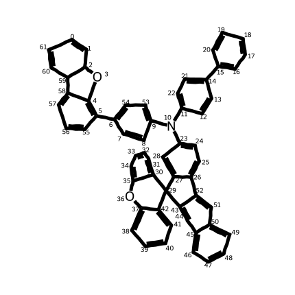 C1=CC2Oc3c(-c4ccc(N(c5ccc(-c6ccccc6)cc5)c5ccc6c(c5)C5(c7ccccc7Oc7ccccc75)c5cc7ccccc7cc5-6)cc4)cccc3C2C=C1